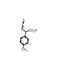 Cc1ccc(C(N=C=S)C(=O)O)cc1